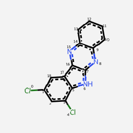 Clc1cc(Cl)c2[nH]c3nc4ccccc4nc3c2c1